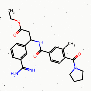 CCOC(=O)CC(NC(=O)c1ccc(C(=O)N2CCCC2)c(C)c1)c1cccc(C(=N)N)c1